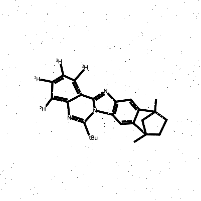 [2H]c1c([2H])c([2H])c2c(nc(C(C)(C)C)n3c4cc5c(cc4nc23)C2(C)CCC5(C)C2)c1[2H]